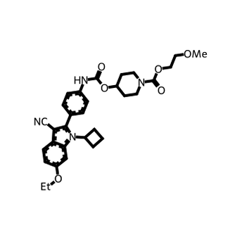 CCOc1ccc2c(C#N)c(-c3ccc(NC(=O)OC4CCN(C(=O)OCCOC)CC4)cc3)n(C3CCC3)c2c1